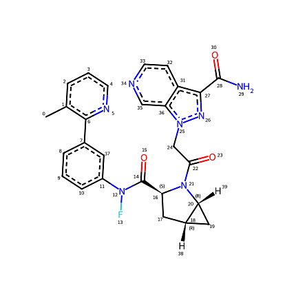 Cc1cccnc1-c1cccc(N(F)C(=O)[C@@H]2C[C@H]3C[C@H]3N2C(=O)Cn2nc(C(N)=O)c3ccncc32)c1